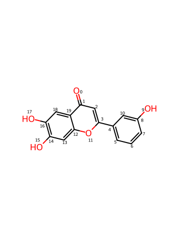 O=c1cc(-c2cccc(O)c2)oc2cc(O)c(O)cc12